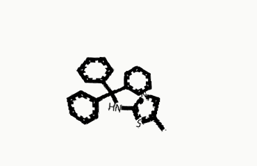 [CH2]c1cnc(NC(c2ccccc2)(c2ccccc2)c2ccccc2)s1